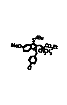 CCOC(=O)C(C)(C)Cc1c(SC(C)(C)C)c2cc(OC)ccc2n1Cc1ccc(Cl)cc1